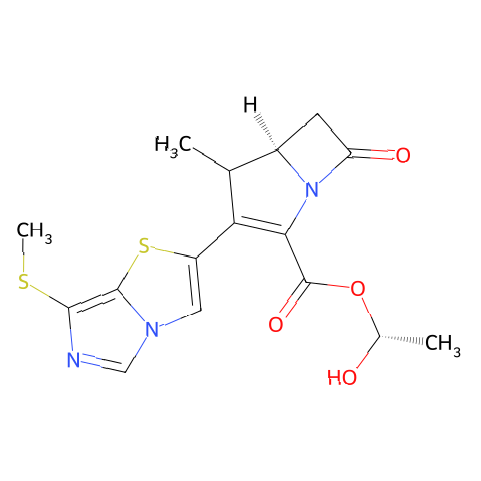 CSc1ncn2cc(C3=C(C(=O)O[C@H](C)O)N4C(=O)C[C@@H]4C3C)sc12